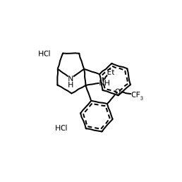 CCNC1(c2ccccc2OC(F)(F)F)CCC2CCC1(c1ccccc1)N2.Cl.Cl